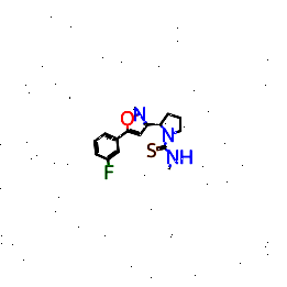 CNC(=S)N1CCC[C@@H]1c1cc(-c2cccc(F)c2)on1